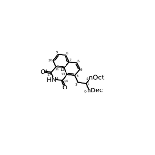 CCCCCCCCCCC(CCCCCCCC)Cc1ccc2cccc3c2c1C(=O)NC3=O